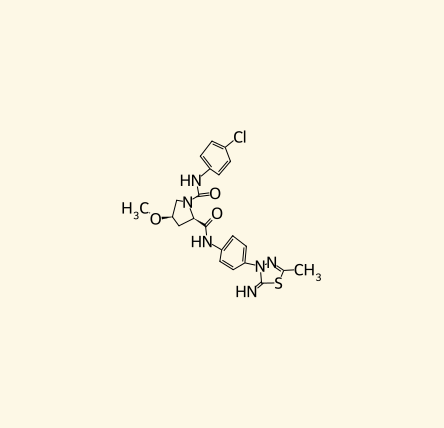 CO[C@@H]1C[C@H](C(=O)Nc2ccc(-n3nc(C)sc3=N)cc2)N(C(=O)Nc2ccc(Cl)cc2)C1